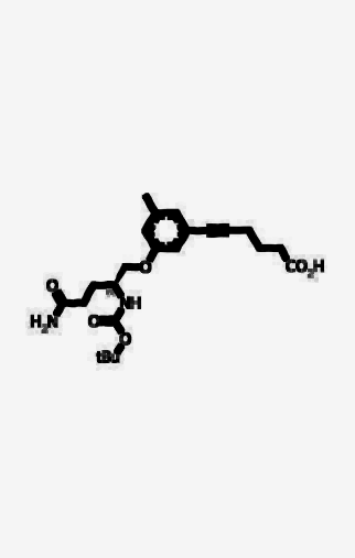 Cc1cc(C#CCCCC(=O)O)cc(OC[C@H](CCC(N)=O)NC(=O)OC(C)(C)C)c1